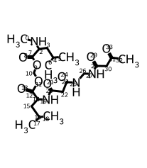 CNC(CC(C)C)C(=O)OCOC(=O)C(CC(C)C)NC(=O)CC(=O)NCNC(=O)CC(C)=O